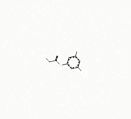 O=C(CBr)Nc1cc(F)cc(C(F)(F)F)c1